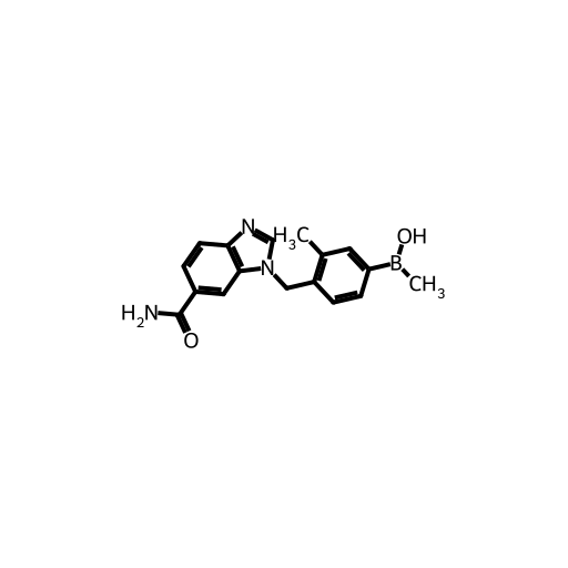 CB(O)c1ccc(Cn2cnc3ccc(C(N)=O)cc32)c(C)c1